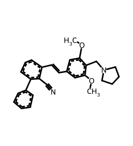 COc1cc(/C=C/c2cccc(-c3ccccc3)c2C#N)cc(OC)c1CN1CCCC1